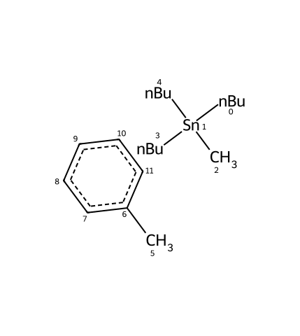 CCC[CH2][Sn]([CH3])([CH2]CCC)[CH2]CCC.Cc1ccccc1